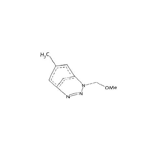 COCN1N=Nc2cc(C)cc1c2